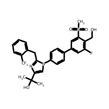 CC(C)(O)c1cn(-c2ccc(-c3cc(F)c(CO)c(S(C)(=O)=O)c3)cc2)c(Cc2ccccc2C(F)(F)F)n1